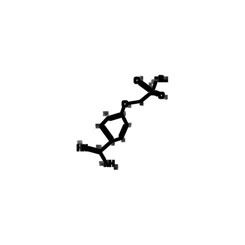 CCCCS(=O)(=O)COc1ccc(C(=N)N)cc1